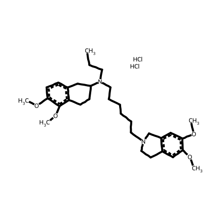 CCCN(CCCCCCN1CCc2cc(OC)c(OC)cc2C1)C1CCc2c(ccc(OC)c2OC)C1.Cl.Cl